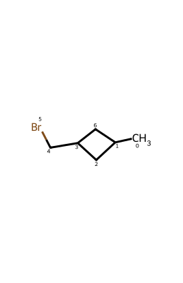 CC1CC(CBr)C1